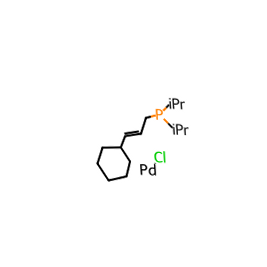 CC(C)P(CC=CC1CCCCC1)C(C)C.[Cl][Pd]